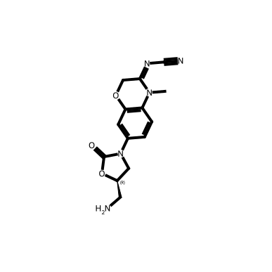 CN1C(=NC#N)COc2cc(N3C[C@@H](CN)OC3=O)ccc21